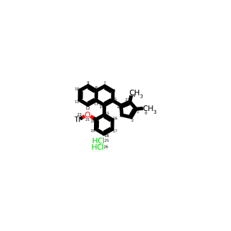 CC1=CCC(c2ccc3ccccc3c2-c2ccccc2[O][Ti])=C1C.Cl.Cl